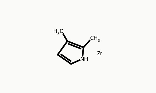 Cc1cc[nH]c1C.[Zr]